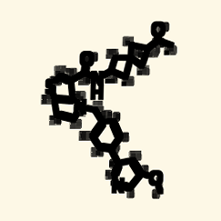 COc1cncc(-c2ccc(Cn3ccc4scc(C(=O)NC5CC6(C5)CC(C(C)=O)C6)c43)cc2)c1